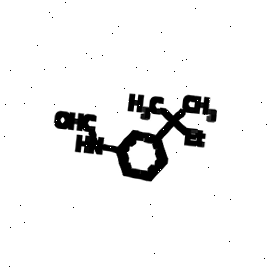 CCC(C)(C)c1cccc(NC=O)c1